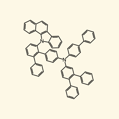 c1ccc(-c2ccc(N(c3ccc(-c4c(-c5ccccc5)cccc4-n4c5ccccc5c5ccc6ccccc6c54)cc3)c3ccc(-c4ccccc4)c(-c4ccccc4)c3)cc2)cc1